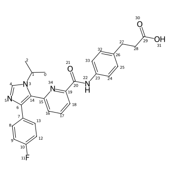 CC(C)n1cnc(-c2ccc(F)cc2)c1-c1cccc(C(=O)Nc2ccc(CCC(=O)O)cc2)n1